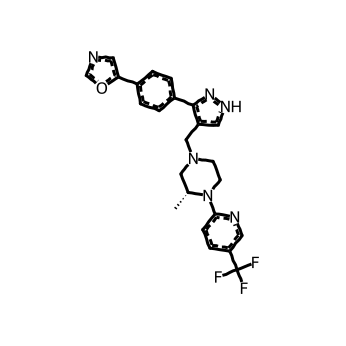 C[C@@H]1CN(Cc2c[nH]nc2-c2ccc(-c3cnco3)cc2)CCN1c1ccc(C(F)(F)F)cn1